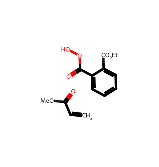 C=CC(=O)OC.CCOC(=O)c1ccccc1C(=O)OO